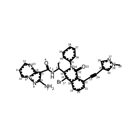 CC(NC(=O)c1c(N)nn2cccnc12)c1c(Br)c2cccc(C#Cc3cnn(C)c3)c2c(=O)n1-c1ccccc1